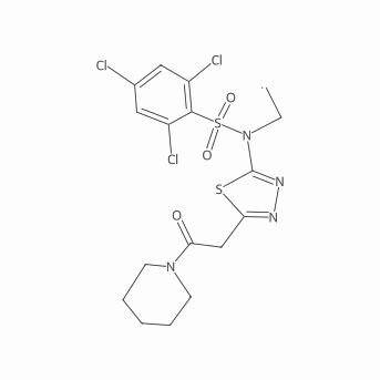 [CH2]CN(c1nnc(CC(=O)N2CCCCC2)s1)S(=O)(=O)c1c(Cl)cc(Cl)cc1Cl